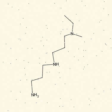 CCN(C)CCCNCCCN